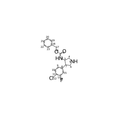 O=C(NC1CNCC1c1ccc(Cl)c(F)c1)OCc1ccccc1